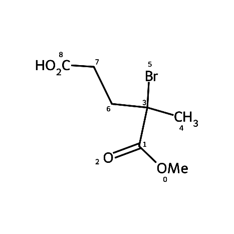 COC(=O)C(C)(Br)CCC(=O)O